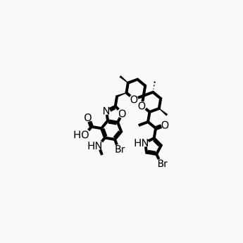 CNc1c(Br)cc2oc(C[C@@H]3OC4(CC[C@@H]3C)OC(C(C)C(=O)c3cc(Br)c[nH]3)[C@H](C)C[C@H]4C)nc2c1C(=O)O